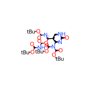 CC(C)(C)OC(=O)/N=C(\OC(=O)NC(=O)OC(C)(C)C)c1c[nH]c(=O)nc1N(C(=O)OC(C)(C)C)C(=O)OC(C)(C)C